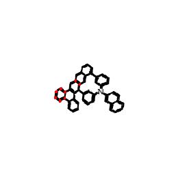 c1ccc(-c2ccccc2-c2c(-c3ccccc3)cccc2-c2cccc(N(c3cccc(-c4cccc5ccccc45)c3)c3ccc4ccccc4c3)c2)cc1